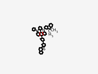 CC1(C)c2ccccc2-c2ccc(N(c3ccccc3)c3cccc(N(c4ccccc4)c4ccccc4)c3-c3ccc(-c4ccc(-c5ccc6sc7c8ccccc8ccc7c6c5)cc4)cc3)cc21